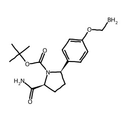 BCOc1ccc([C@H]2CC[C@@H](C(N)=O)N2C(=O)OC(C)(C)C)cc1